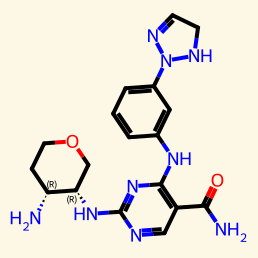 NC(=O)c1cnc(N[C@H]2COCC[C@H]2N)nc1Nc1cccc(N2N=CCN2)c1